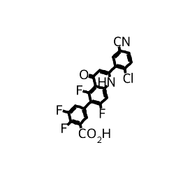 N#Cc1ccc(Cl)c(-c2cc(=O)c3c(F)c(-c4cc(F)c(F)c(C(=O)O)c4)c(F)cc3[nH]2)c1